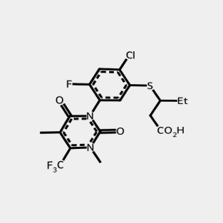 CCC(CC(=O)O)Sc1cc(-n2c(=O)c(C)c(C(F)(F)F)n(C)c2=O)c(F)cc1Cl